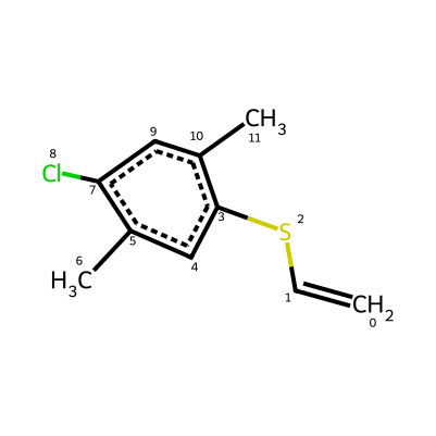 C=CSc1cc(C)c(Cl)cc1C